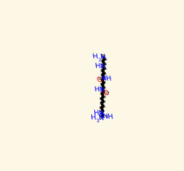 N=C(N)NCCCCCCCCC(=O)NCCCC(=O)NCCCCNCCCN